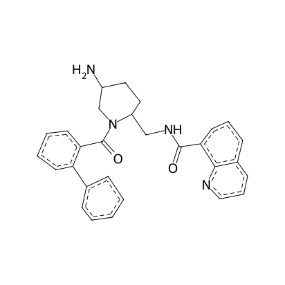 NC1CCC(CNC(=O)c2cccc3cccnc23)N(C(=O)c2ccccc2-c2ccccc2)C1